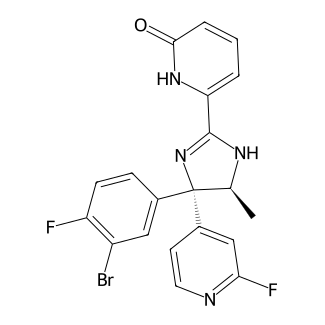 C[C@@H]1NC(c2cccc(=O)[nH]2)=N[C@]1(c1ccnc(F)c1)c1ccc(F)c(Br)c1